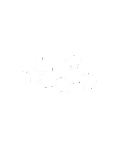 CCCc1c(C(=O)O)n(C(C)C)c(=O)n1Cc1ccc(-c2ccccc2-c2nnn[nH]2)cc1